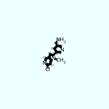 Cn1c(-c2cncc(CN)c2)cc2cnc(Cl)cc21